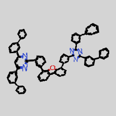 c1ccc(-c2cccc(-c3cc(-c4cccc(-c5ccccc5)c4)nc(-c4cccc(-c5cccc6c5oc5c(-c7cccc(-c8nc(-c9cccc(-c%10ccccc%10)c9)nc(-c9cccc(-c%10ccccc%10)c9)n8)c7)cccc56)c4)n3)c2)cc1